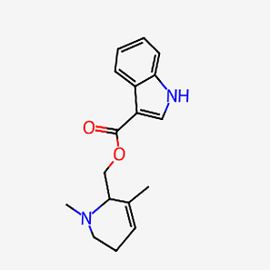 CC1=CCCN(C)C1COC(=O)c1c[nH]c2ccccc12